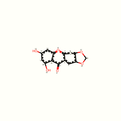 O=c1c2cc3c(cc2oc2cc(O)cc(O)c12)OCO3